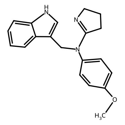 COc1ccc(N(Cc2c[nH]c3ccccc23)C2=NCCC2)cc1